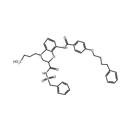 O=C(O)CCCN1CC(C(=O)NS(=O)(=O)Cc2ccccc2)Oc2c(NC(=O)c3ccc(OCCCCc4ccccc4)cc3)cccc21